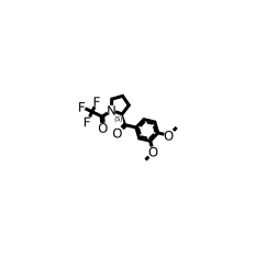 COc1ccc(C(=O)[C@@H]2CCCN2C(=O)C(F)(F)F)cc1OC